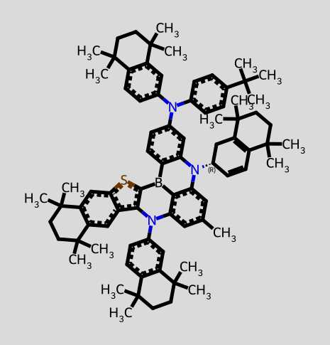 Cc1cc2c3c(c1)N([C@H]1C=CC4=C(C1)C(C)(C)CCC4(C)C)c1cc(N(c4ccc(C(C)(C)C)cc4)c4ccc5c(c4)C(C)(C)CCC5(C)C)ccc1B3c1sc3cc4c(cc3c1N2c1ccc2c(c1)C(C)(C)CCC2(C)C)C(C)(C)CCC4(C)C